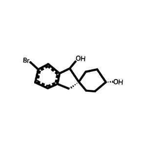 OC1c2cc(Br)ccc2C[C@]12CC[C@@H](O)CC2